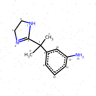 CC(C)(C1=NCCN1)c1cccc(N)c1